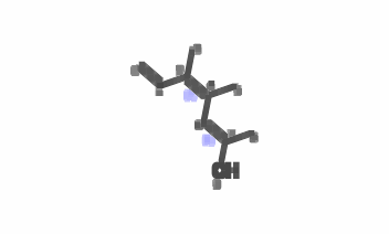 C=C/C(C)=C(C)\C=C(/C)O